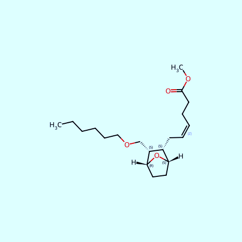 CCCCCCOC[C@@H]1[C@H](C/C=C\CCC(=O)OC)[C@@H]2CC[C@H]1O2